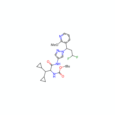 COc1ncccc1C(CC(F)F)n1cc(NC(=O)C(NC(=O)OC(C)(C)C)C(C2CC2)C2CC2)cn1